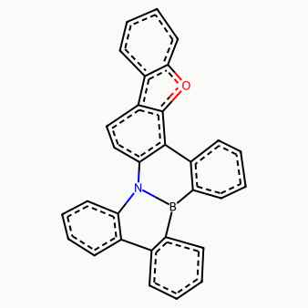 c1ccc2c(c1)B1c3ccccc3-c3c(ccc4c3oc3ccccc34)N1c1ccccc1-2